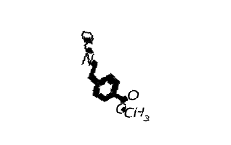 COC(=O)c1ccc(CCN=C=O)cc1